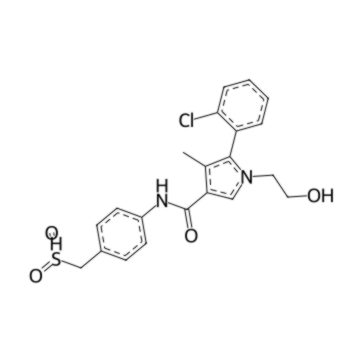 Cc1c(C(=O)Nc2ccc(C[SH](=O)=O)cc2)cn(CCO)c1-c1ccccc1Cl